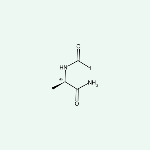 C[C@@H](NC(=O)I)C(N)=O